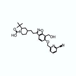 CC(C)(C)C1CC(CCc2noc3c(CO)c(OCc4cccc(C#N)n4)ccc23)CCN1C(=O)O